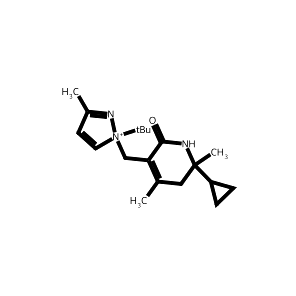 CC1=N[N+](CC2=C(C)CC(C)(C3CC3)NC2=O)(C(C)(C)C)C=C1